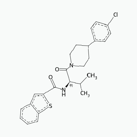 CC(C)[C@@H](NC(=O)c1cc2ccccc2s1)C(=O)N1CCC(c2ccc(Cl)cc2)CC1